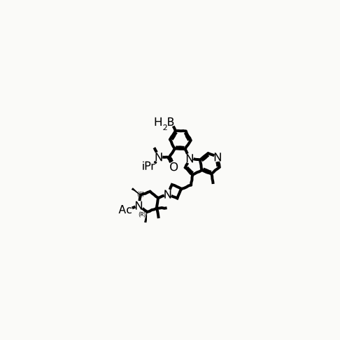 Bc1ccc(-n2cc(CC3CN(C4C[C@H](C)N(C(C)=O)[C@H](C)C4(C)C)C3)c3c(C)cncc32)c(C(=O)N(C)C(C)C)c1